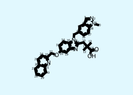 Cn1ncc2cc(Cn3c(CC(C)(C)C(=O)O)nc4cc(OCc5ccc6ccccc6n5)ccc43)ccc21